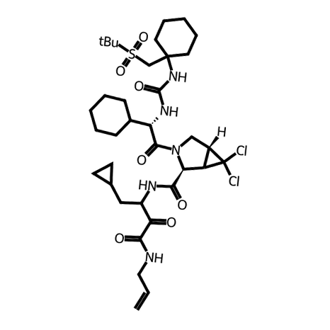 C=CCNC(=O)C(=O)C(CC1CC1)NC(=O)[C@@H]1C2[C@H](CN1C(=O)[C@@H](NC(=O)NC1(CS(=O)(=O)C(C)(C)C)CCCCC1)C1CCCCC1)C2(Cl)Cl